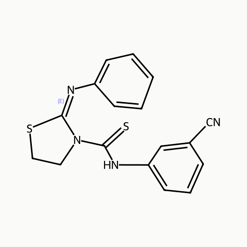 N#Cc1cccc(NC(=S)N2CCS/C2=N/c2ccccc2)c1